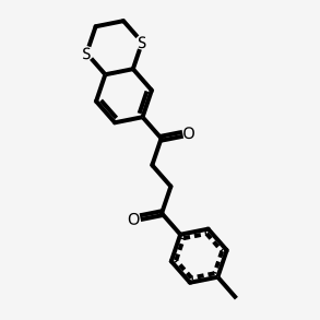 Cc1ccc(C(=O)CCC(=O)C2=CC3SCCSC3C=C2)cc1